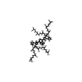 CC(C)CCCC(C)CCCC(C)CCC1(CCC(C)CCCC(C)CCCC(C)C)Oc2ccsc2-c2sc(-c3ccc(-c4cc5c(s4)-c4sccc4OC5(CCC(C)CCCC(C)CCCC(C)C)CCC(C)CCCC(C)CCCC(C)C)c4nsnc34)cc21